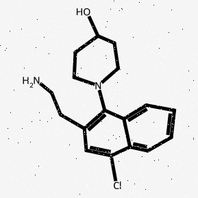 NCCc1cc(Cl)c2ccccc2c1N1CCC(O)CC1